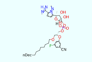 C=Nn1c(/C(N)=N\C)ccc1[C@]1(C)O[C@@H]2C(OP(=O)(O)OC[C@@H](COCCCCCCCCCCCCCCCCCC)Oc3cc(F)cc(C#N)c3)[C@]2(O)[C@H]1O